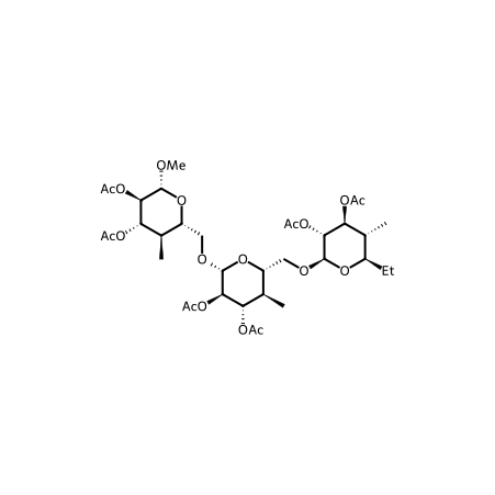 CC[C@H]1O[C@@H](OC[C@H]2O[C@@H](OC[C@H]3O[C@@H](OC)[C@H](OC(C)=O)[C@@H](OC(C)=O)[C@@H]3C)[C@H](OC(C)=O)[C@@H](OC(C)=O)[C@@H]2C)[C@H](OC(C)=O)[C@@H](OC(C)=O)[C@@H]1C